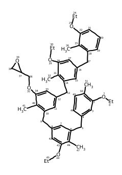 CCOc1cc(Cc2cc(Cc3cc(Cc4cc(Cc5cccc(OCC)c5C)cc(OCC)c4C)cc(OCC4CO4)c3C)cc(OCC)c2C)ccc1C